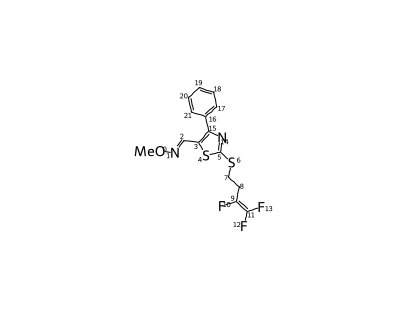 CON=Cc1sc(SCCC(F)=C(F)F)nc1-c1ccccc1